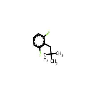 CC(C)(C)Cc1c(F)cccc1F